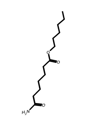 CCCCCCOC(=O)CCCCCC(N)=O